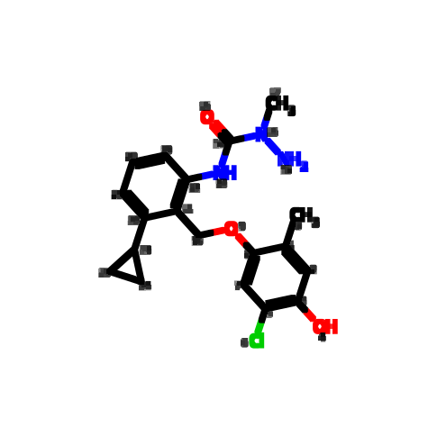 Cc1cc(O)c(Cl)cc1OCc1c(NC(=O)N(C)N)cccc1C1CC1